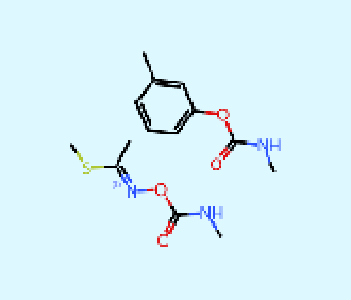 CNC(=O)O/N=C(\C)SC.CNC(=O)Oc1cccc(C)c1